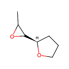 CC1OC1[C@H]1CCCO1